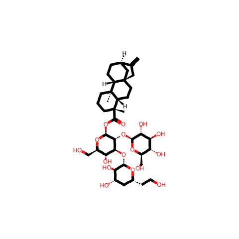 C=C1C[C@@]23CC[C@H]4[C@@](C)(CCC[C@@]4(C)C(=O)O[C@@H]4O[C@H](CO)[C@@H](O)[C@H](O[C@@H]5O[C@H](CCO)C[C@H](O)[C@H]5O)[C@H]4O[C@@H]4O[C@H](CO)[C@@H](O)[C@H](O)[C@H]4O)[C@@H]2CC[C@@H]1C3